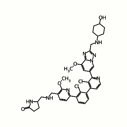 COc1nc(-c2cccc(-c3ccnc(-c4cc(OC)c5nc(CNC6CCC(O)CC6)nn5c4)c3Cl)c2Cl)ccc1CNCC1CCC(=O)N1